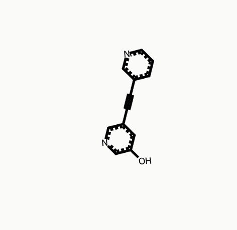 Oc1cncc(C#Cc2cccnc2)c1